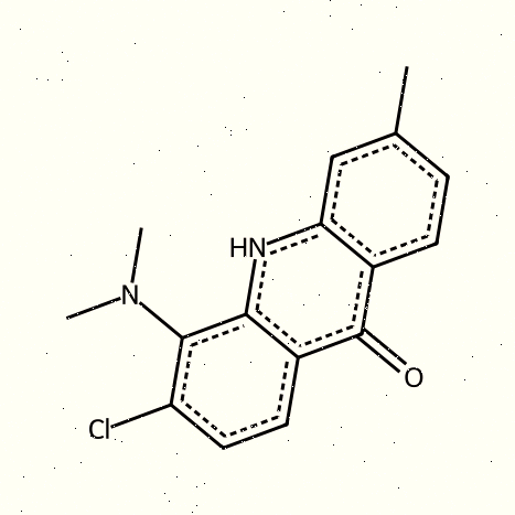 Cc1ccc2c(=O)c3ccc(Cl)c(N(C)C)c3[nH]c2c1